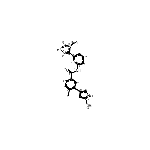 Cc1cnc(C(=O)Nc2cccc(-c3nnnn3C(C)C)n2)cc1-c1cnn(C(C)(C)C)c1